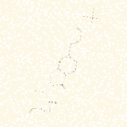 CC(C)(C)OC(=O)C=Cc1ccc2c(c1)CN(C1CCC(=O)NC1=O)C2=O